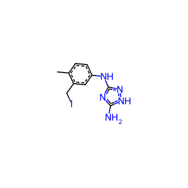 Cc1ccc(Nc2n[nH]c(N)n2)cc1CI